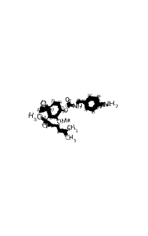 CO[C@H]1[C@H](C2(C)OC2CC=C(C)C)[C@]2(CC[C@H]1OC(=O)NCc1ccc(N)cc1)CO2